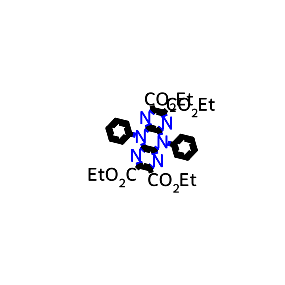 CCOC(=O)c1nc2c(nc1C(=O)OCC)N(c1ccccc1)c1nc(C(=O)OCC)c(C(=O)OCC)nc1N2c1ccccc1